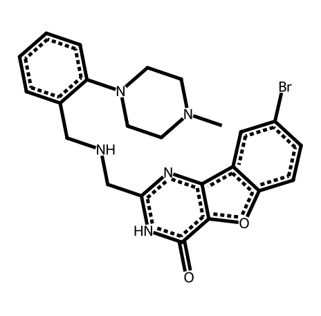 CN1CCN(c2ccccc2CNCc2nc3c(oc4ccc(Br)cc43)c(=O)[nH]2)CC1